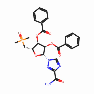 CP(C)(=O)C[C@H]1O[C@@H](n2cnc(C(N)=O)n2)[C@H](OC(=O)c2ccccc2)[C@@H]1OC(=O)c1ccccc1